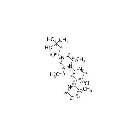 CCC1CN(C(=O)CC(C)(C)O)CC(C)N1c1cc(C2=NCCC=C2C)c(Cl)cn1